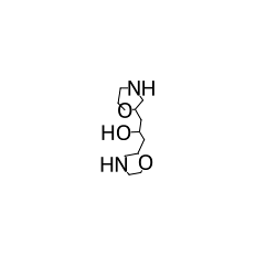 OC(CC1CNCCO1)CC1CNCCO1